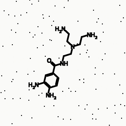 NCCN(CCN)CCNC(=O)c1ccc(N)c(N)c1